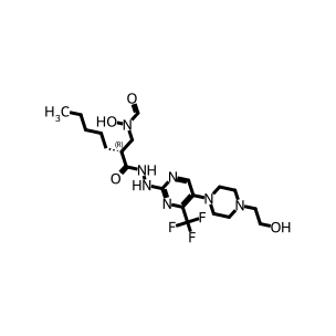 CCCCC[C@H](CN(O)C=O)C(=O)NNc1ncc(N2CCN(CCO)CC2)c(C(F)(F)F)n1